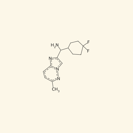 Cc1ccc2nc(C(N)C3CCC(F)(F)CC3)cn2n1